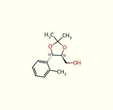 Cc1ccccc1[C@@H]1OC(C)(C)O[C@H]1CO